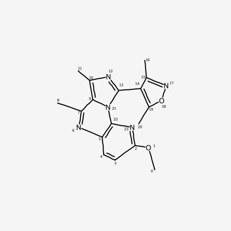 COc1ccc2nc(C)c3c(C)nc(-c4c(C)noc4C)n3c2n1